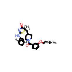 CC(=O)NCCOc1cccc(C(=O)N2CCC(CC3(C)SC(N[C@H]4C[C@H]5CC[C@H]4C5)=NC3=O)CC2)c1